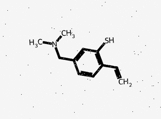 C=Cc1ccc(CN(C)C)cc1S